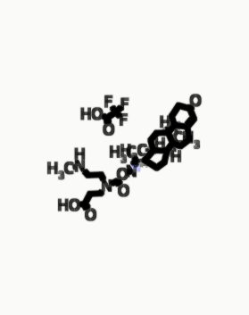 CNCCN(CCC(=O)O)C(=O)O/N=C(\C)[C@H]1CC[C@H]2[C@@H]3CCC4=CC(=O)CC[C@]4(C)[C@H]3CC[C@]12C.O=C(O)C(F)(F)F